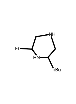 [CH2]CC1CNCC(CCCC)N1